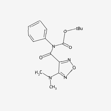 CN(C)c1nonc1C(=O)N(C(=O)OC(C)(C)C)c1ccccc1